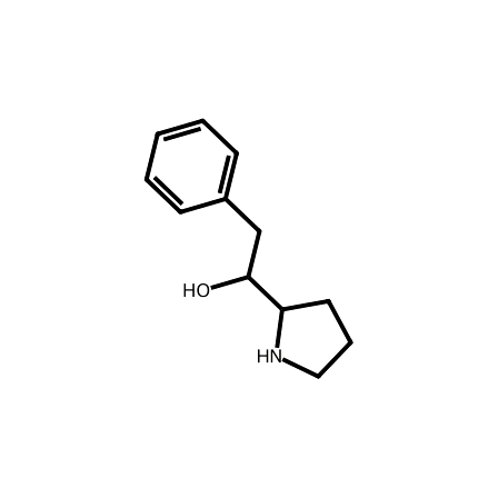 OC(Cc1ccccc1)C1CCCN1